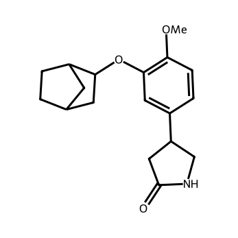 COc1ccc(C2CNC(=O)C2)cc1OC1CC2CCC1C2